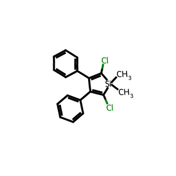 C[Si]1(C)C(Cl)=C(c2ccccc2)C(c2ccccc2)=C1Cl